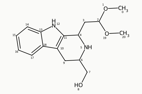 COC(CC1NC(CO)Cc2c1[nH]c1ccccc21)OC